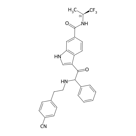 C[C@H](NC(=O)c1ccc2c(C(=O)C(NCCc3ccc(C#N)cc3)c3ccccc3)c[nH]c2c1)C(F)(F)F